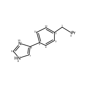 CC(C)Cc1ccc(-c2c[nH][c]n2)cc1